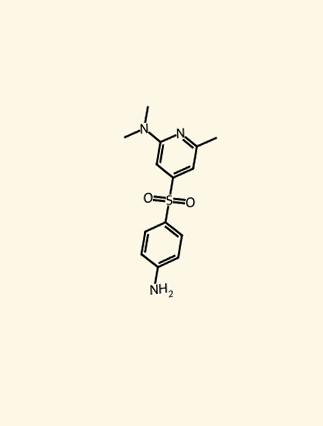 Cc1cc(S(=O)(=O)c2ccc(N)cc2)cc(N(C)C)n1